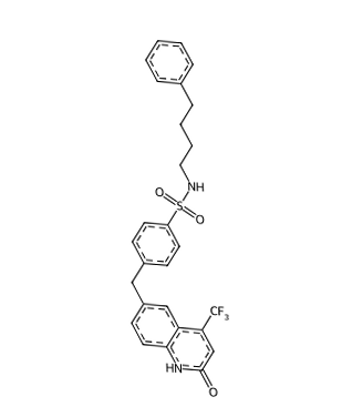 O=c1cc(C(F)(F)F)c2cc(Cc3ccc(S(=O)(=O)NCCCCc4ccccc4)cc3)ccc2[nH]1